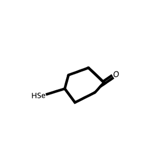 O=C1CCC([SeH])CC1